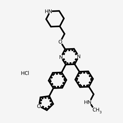 CNCc1ccc(-c2ncc(OCC3CCNCC3)nc2-c2ccc(-c3ccoc3)cc2)cc1.Cl